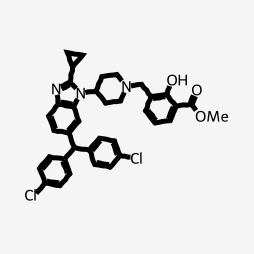 COC(=O)c1cccc(CN2CCC(n3c(C4CC4)nc4ccc(C(c5ccc(Cl)cc5)c5ccc(Cl)cc5)cc43)CC2)c1O